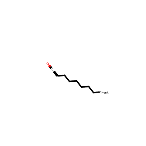 CCCCCCCCCCCC=C=O